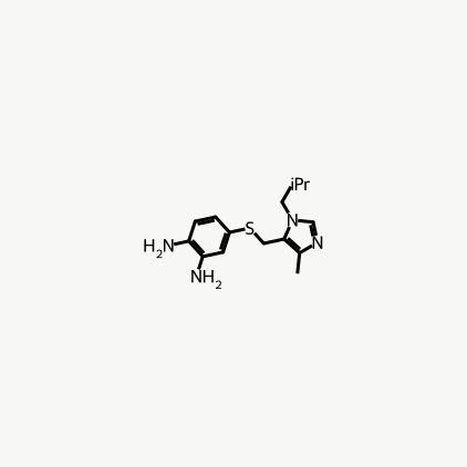 Cc1ncn(CC(C)C)c1CSc1ccc(N)c(N)c1